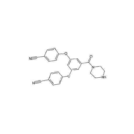 N#Cc1ccc(Oc2cc(Oc3ccc(C#N)cc3)cc(C(=O)N3CCNCC3)c2)cc1